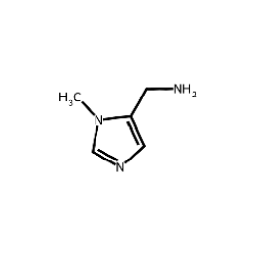 Cn1cncc1CN